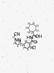 N#CCn1ccc(-c2ccc(Cl)c(C(=O)NC(O)C3CCCCCC3)c2)n1